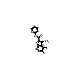 Cc1nnc2sc(C(=O)Nc3ccccn3)c(N)c2c1C